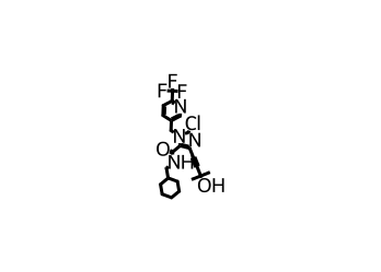 CC(C)(O)C#Cc1nc(Cl)n(Cc2ccc(C(F)(F)F)nc2)c1C(=O)NCC1CCCCC1